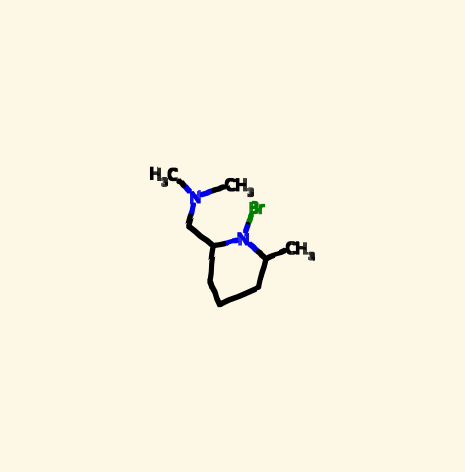 CC1CCCC(CN(C)C)N1Br